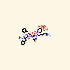 CC(C)C[C@@H](NC(=O)[C@@H](Cc1ccccc1)NC(=O)[C@H](N)Cc1ccccc1)C(=O)N[C@H](CCCCN)C(=O)N1CCC(P(=O)(O)O)CC1